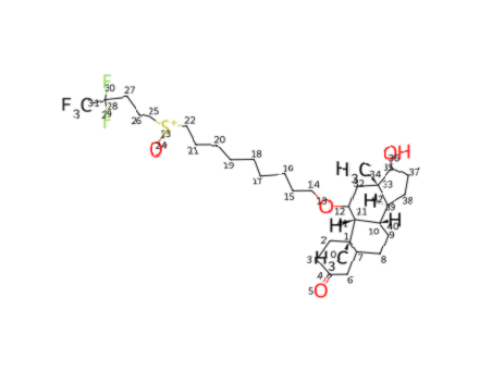 C[C@]12CCC(=O)CC1CC[C@@H]1[C@H]2C(OCCCCCCCCC[S+]([O-])CCCC(F)(F)C(F)(F)F)C[C@]2(C)C(O)CC[C@@H]12